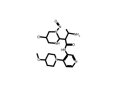 COC1CCN(c2ccncc2NC(=O)C(C(C)N)C2NCC(Cl)CN2N=O)CC1